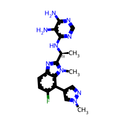 C[C@H](Nc1ncnc(N)c1N)c1nc2ccc(F)c(-c3cnn(C)c3)c2n1C